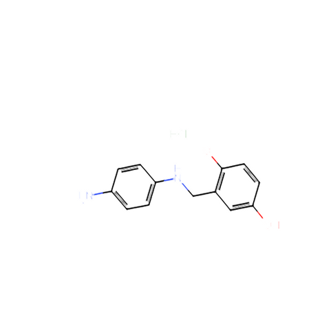 Cl.Nc1ccc(NCc2cc(O)ccc2O)cc1